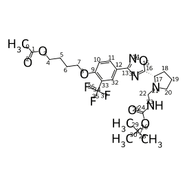 CC(=O)OCCCCOc1ccc(-c2noc([C@@H]3CCCN3CNC(=O)OC(C)(C)C)n2)cc1C(F)(F)F